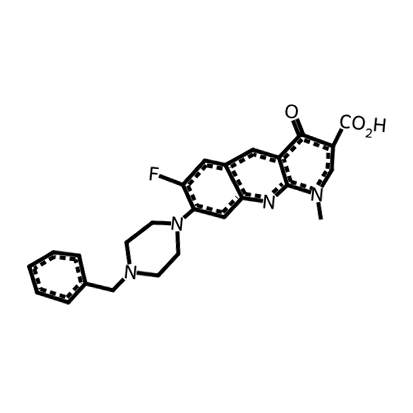 Cn1cc(C(=O)O)c(=O)c2cc3cc(F)c(N4CCN(Cc5ccccc5)CC4)cc3nc21